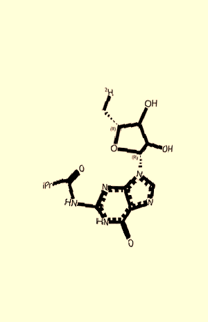 [2H]C[C@H]1O[C@@H](n2cnc3c(=O)[nH]c(NC(=O)C(C)C)nc32)C(O)C1O